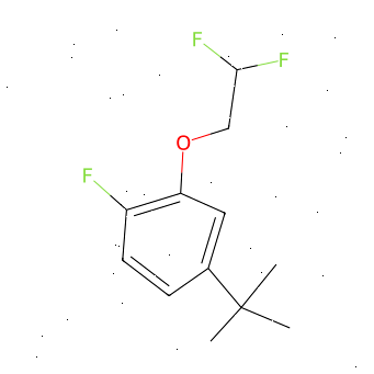 CC(C)(C)c1ccc(F)c(OCC(F)F)c1